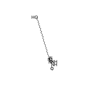 OCCCCCCCCCCCCCCCCCCCCCCCCCCCCCCc1ncc2[nH]c(NCc3ccccc3)nc2n1